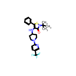 CC(C)(C)n1sc(-c2ccccc2)c(NC2CCN(c3ccc(C(F)(F)F)cn3)CC2)c1=O